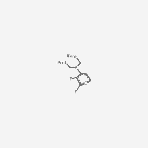 CCCC(C)CP(CC(C)CCC)c1cccc(F)c1F